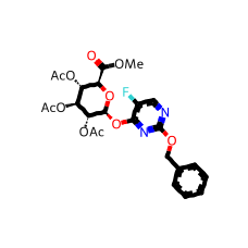 COC(=O)[C@H]1O[C@@H](Oc2nc(OCc3ccccc3)ncc2F)[C@H](OC(C)=O)[C@@H](OC(C)=O)[C@@H]1OC(C)=O